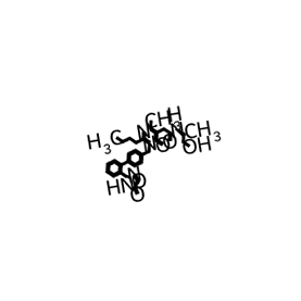 CCCCc1nc(C)c(CC(=O)NC(C)CO)c(=O)n1Cc1ccc(-c2ccccc2-c2noc(=O)[nH]2)cc1